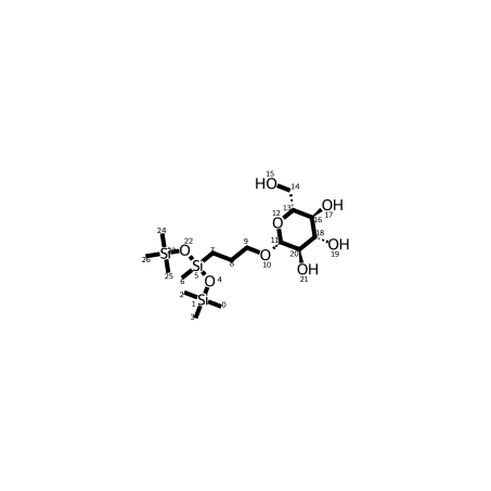 C[Si](C)(C)O[Si](C)(CCCO[C@@H]1O[C@H](CO)[C@@H](O)[C@H](O)[C@H]1O)O[Si](C)(C)C